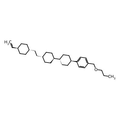 C=C[C@H]1CC[C@H](CC[C@H]2CC[C@H]([C@H]3CC[C@H](c4ccc(COCCC)cc4)CC3)CC2)CC1